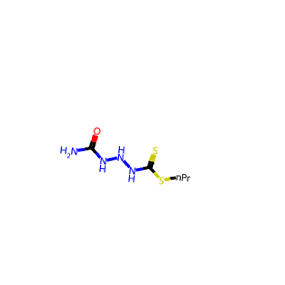 CCCSC(=S)NNNC(N)=O